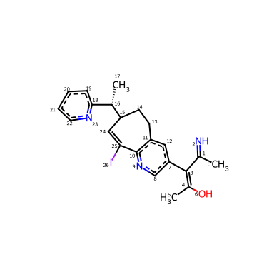 CC(=N)/C(=C(/C)O)c1cnc2c(c1)CCC([C@@H](C)c1ccccn1)C=C2I